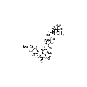 COc1ccc(CN2C(=O)c3cccc4c(Cc5cnn(C6CCN(C(=O)C7(C)CCC7)CC6)c5)cnc2c34)cc1